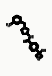 O=C(NC1CCN(Cc2cccc(C(F)(F)F)c2)C1)c1ccc(C2(O)COC2)cc1